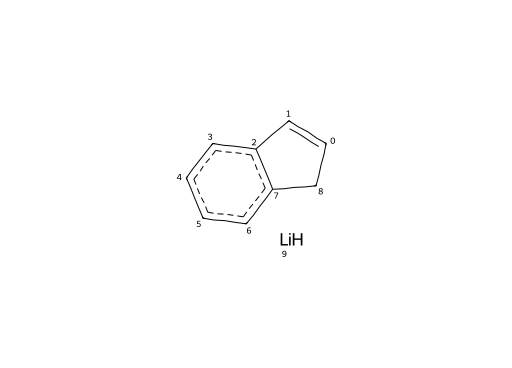 C1=Cc2ccccc2C1.[LiH]